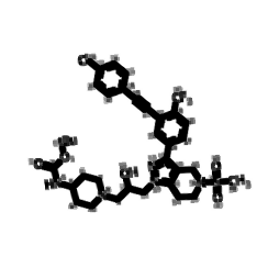 CC(C)(C)OC(=O)NC1CCN(CC(O)Cn2nc(-c3ccc(C(F)(F)F)c(C#Cc4ccc(Cl)cc4)c3)c3c2CCN(S(C)(=O)=O)C3)CC1